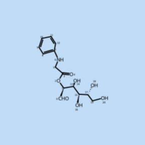 O=C[C@@H](OC(=O)CNc1ccccc1)[C@@H](O)[C@H](O)[C@H](O)CO